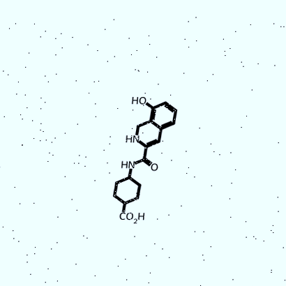 O=C(NC1CCC(C(=O)O)CC1)C1=Cc2cccc(O)c2CN1